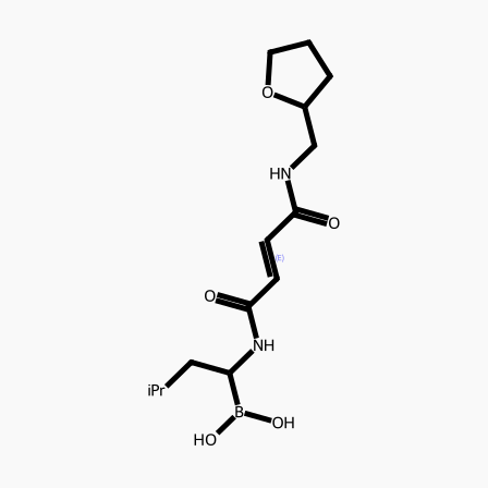 CC(C)CC(NC(=O)/C=C/C(=O)NCC1CCCO1)B(O)O